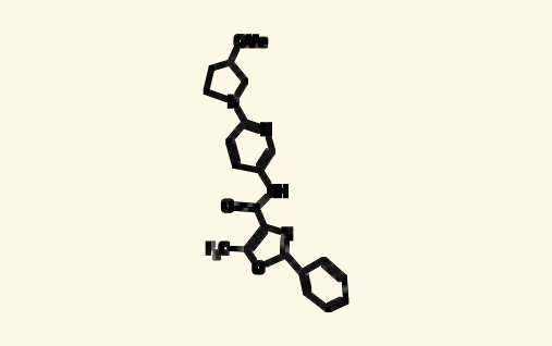 COC1CCN(c2ccc(NC(=O)c3nc(-c4ccccc4)oc3C(F)(F)F)cn2)C1